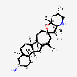 CC1=C2C[C@H]3[C@@H](CC[C@@H]4C[C@@H](N)CC[C@@]43C)[C@@H]2CC[C@@]2(C1)O[C@@H]1C[C@H](C)CN[C@H]1[C@H]2C